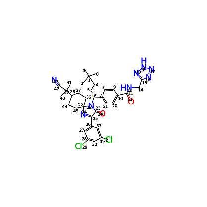 CC(C)(C)CC[C@H](c1ccc(C(=O)NCc2nn[nH]n2)cc1)N1C(=O)C(c2cc(Cl)cc(Cl)c2)=NC12CCC(C(C)(C)C#N)CC2